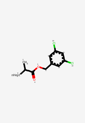 CCCCCCCC(C)C(=O)OCc1cc(Cl)cc(Cl)c1